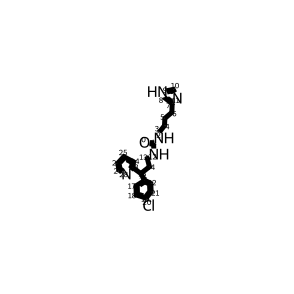 O=C(NCCCCc1c[nH]cn1)NCCC(c1ccc(Cl)cc1)c1ccccn1